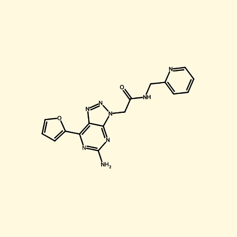 Nc1nc(-c2ccco2)c2nnn(CC(=O)NCc3ccccn3)c2n1